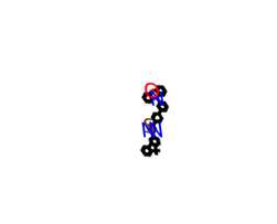 CC1(C)c2ccccc2-c2cc(-c3nsc(C4=CCC(c5cccc(N6c7ccccc7Oc7ccccc76)c5)C=C4)n3)ccc21